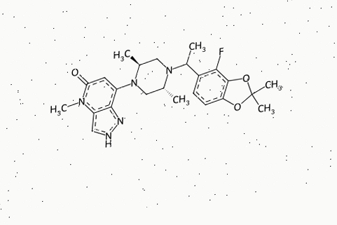 CC(c1ccc2c(c1F)OC(C)(C)O2)N1C[C@H](C)N(c2cc(=O)n(C)c3c[nH]nc23)C[C@H]1C